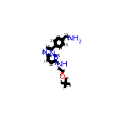 CC(C)(C)COCCNc1ccc2ncc(-c3ccc(CN)cc3)n2n1